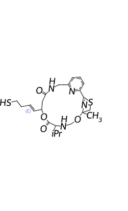 CC(C)C1NCOC2(C)CSC(=N2)c2cccc(n2)CNC(=O)CC(/C=C/CCS)OC1=O